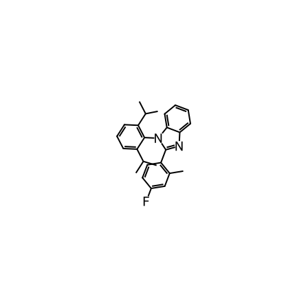 Cc1cc(F)ccc1-c1nc2ccccc2n1-c1c(C(C)C)cccc1C(C)C